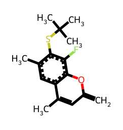 C=C1C=C(C)c2cc(C)c(SC(C)(C)C)c(F)c2O1